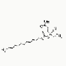 CCCCCCCCCCCCSC(=S)SC(C#N)(CC)CCC(=O)O